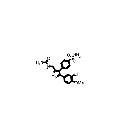 COc1ccc(-c2noc(CN(O)C(N)=O)c2-c2ccc(S(N)(=O)=O)cc2)cc1Cl